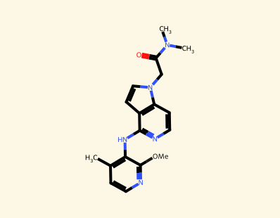 COc1nccc(C)c1Nc1nccc2c1ccn2CC(=O)N(C)C